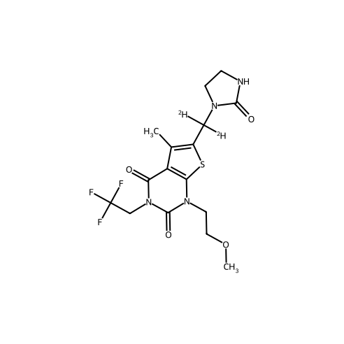 [2H]C([2H])(c1sc2c(c1C)c(=O)n(CC(F)(F)F)c(=O)n2CCOC)N1CCNC1=O